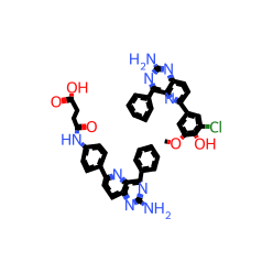 COc1cc(-c2ccc3nc(N)nc(-c4ccccc4)c3n2)cc(Cl)c1O.Nc1nc(-c2ccccc2)c2nc(-c3ccc(NC(=O)CCC(=O)O)cc3)ccc2n1